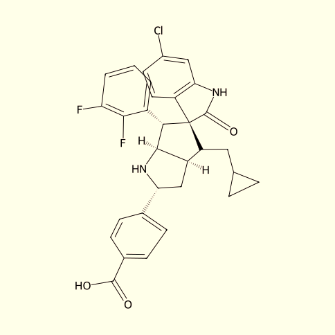 O=C(O)c1ccc([C@H]2C[C@@H]3C(CC4CC4)[C@@]4(C(=O)Nc5cc(Cl)ccc54)[C@@H](c4cccc(F)c4F)[C@@H]3N2)cc1